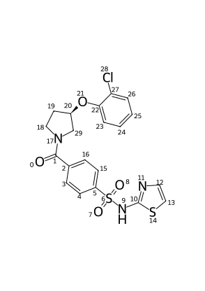 O=C(c1ccc(S(=O)(=O)Nc2nccs2)cc1)N1CC[C@@H](Oc2ccccc2Cl)C1